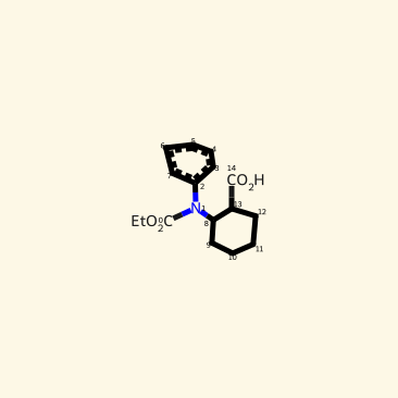 CCOC(=O)N(c1ccccc1)C1CCCCC1C(=O)O